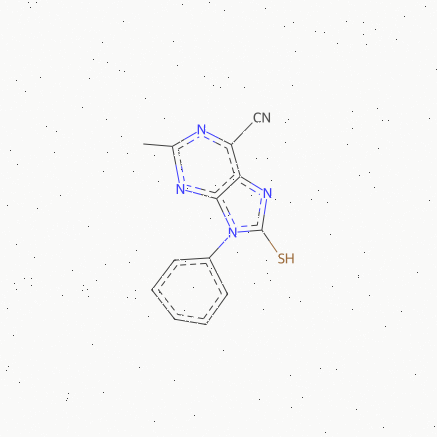 Cc1nc(C#N)c2nc(S)n(-c3ccccc3)c2n1